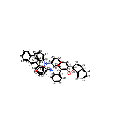 c1cc(-c2ccc3ccccc3c2)cc(N(c2ccccc2-c2cccc3c2oc2c4ccccc4ccc32)c2ccccc2-n2c3ccccc3c3ccccc32)c1